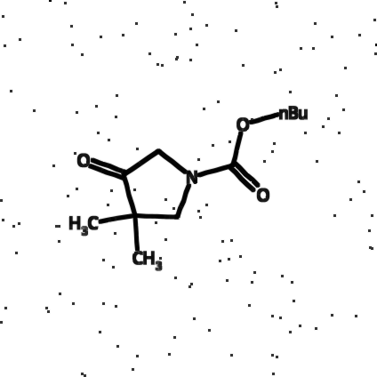 CCCCOC(=O)N1CC(=O)C(C)(C)C1